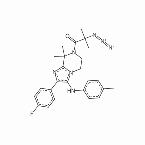 Cc1ccc(Nc2c(-c3ccc(F)cc3)nc3n2CCN(C(=O)C(C)(C)N=[N+]=[N-])C3(C)C)cc1